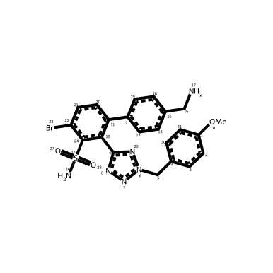 COc1ccc(Cn2nnc(-c3c(-c4ccc(CN)cc4)ccc(Br)c3S(N)(=O)=O)n2)cc1